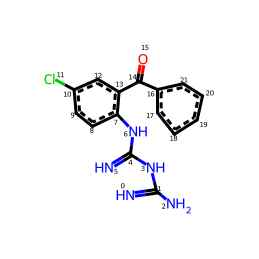 N=C(N)NC(=N)Nc1ccc(Cl)cc1C(=O)c1ccccc1